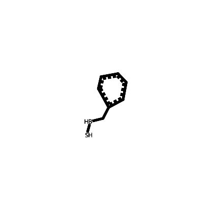 SBCc1ccccc1